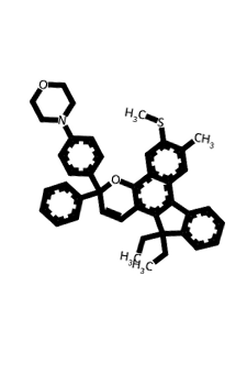 CCC1(CC)c2ccccc2-c2c1c1c(c3cc(SC)c(C)cc23)OC(c2ccccc2)(c2ccc(N3CCOCC3)cc2)C=C1